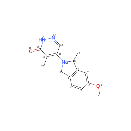 COc1ccc2c(c1)C(C)N(c1cn[nH]c(=O)c1C)C2